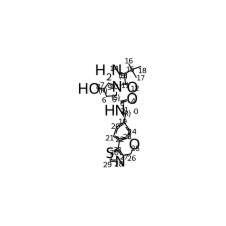 C[C@@H](NC(=O)[C@@H]1C[C@@H](O)CN1C(=O)[C@@H](N)C(C)(C)C)c1ccc2c(c1)OCc1ncsc1-2